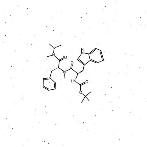 CN(C(=O)[C@@H](Cc1c[nH]c2ccccc12)NC(=O)OC(C)(C)C)[C@H](Cc1ccccc1)C(=O)N(C)N(C)C